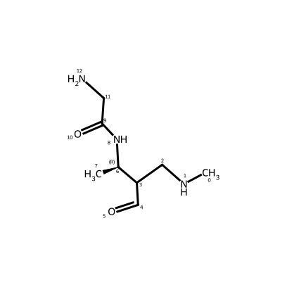 CNCC(C=O)[C@@H](C)NC(=O)CN